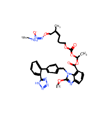 CCOc1nc2cccc(C(=O)OC(C)OC(=O)OCCCC(C)CO/N=[N+](\[O-])NC(C)(C)C)c2n1Cc1ccc(-c2ccccc2-c2nnn[nH]2)cc1